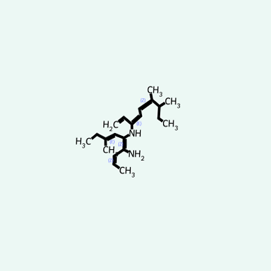 C=C/C(=C\C=C(\C)C(C)CC)NC(/C=C(\C)CC)=C(N)/C=C\C